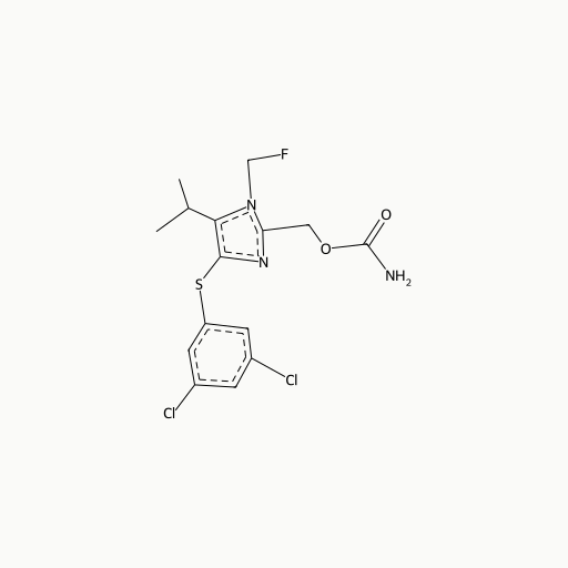 CC(C)c1c(Sc2cc(Cl)cc(Cl)c2)nc(COC(N)=O)n1CF